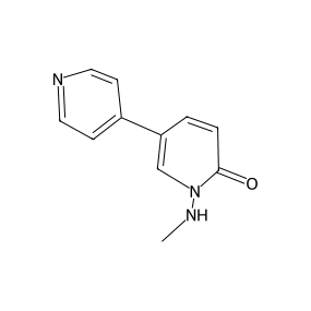 CNn1cc(-c2ccncc2)ccc1=O